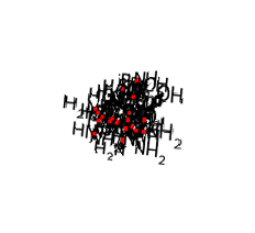 CC[C@H](C)[C@H](NC(=O)[C@@H]1C[C@@H](O)CN1C(=O)[C@@H](N)C(C)C)C(=O)N[C@H](C(=O)N[C@@H](Cc1ccc(O)cc1)C(=O)N[C@@H](CO)C(=O)N[C@@H](CC(N)=O)C(=O)N[C@@H](CCCNC(=N)N)C(=O)N[C@@H](CCN)C(=O)N[C@@H](CC(N)=O)C(=O)N[C@H](CCN)C(=O)N[C@@H](CCCCN)C(=O)N[C@@H](CCN)C(=O)N[C@@H](CCN)C(=O)N[C@@H](CS)C(=O)N[C@@H](Cc1ccc(O)cc1)C(=O)O)C(C)(C)S